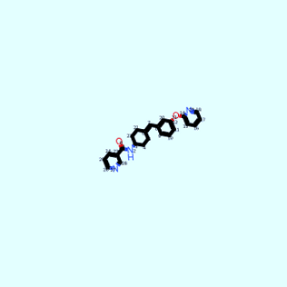 O=C(NC1CCC(=Cc2cccc(Oc3ccccn3)c2)CC1)c1cccnc1